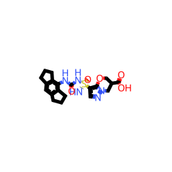 N=S(=O)(NC(=O)Nc1c2c(cc3c1CCC3)CCC2)c1cnn2c1OCC(C(=O)O)C2